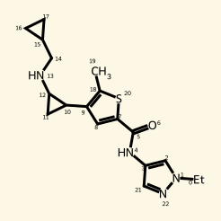 CCn1cc(NC(=O)c2cc(C3CC3NCC3CC3)c(C)s2)cn1